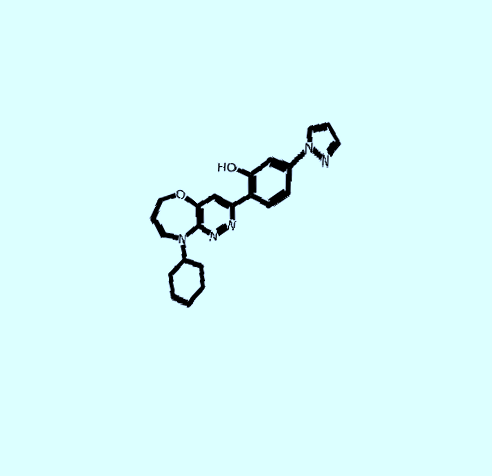 Oc1cc(-n2cccn2)ccc1-c1cc2c(nn1)N(C1CCCCC1)CCCO2